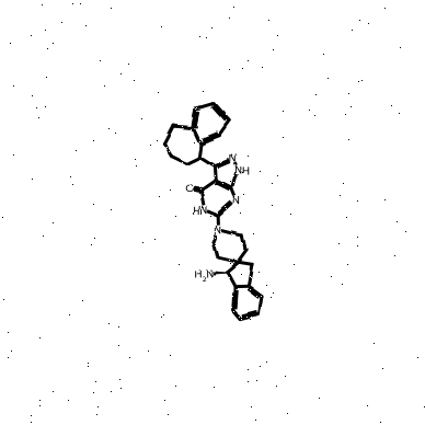 N[C@@H]1c2ccccc2CC12CCN(c1nc3[nH]nc(C4CCCCc5ccccc54)c3c(=O)[nH]1)CC2